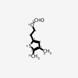 Cc1cc(CCOC=O)sc1C